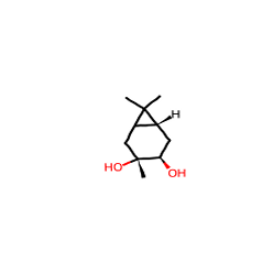 CC1(C)C2C[C@@](C)(O)[C@H](O)C[C@H]21